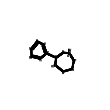 c1ccc(C2CNCCCO2)cc1